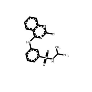 CC(C)NS(=O)(=O)c1cccc(Nc2nc(Cl)nc3ccccc23)c1